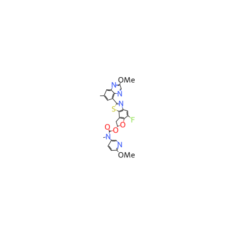 COc1ccc(N(C)C(=O)O[C@@H]2Cc3c(c(F)cc4nc(-c5cc(C)cc6nc(OC)cnc56)sc34)O2)cn1